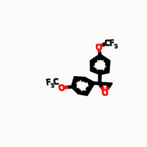 FC(F)(F)Oc1ccc(C2(c3ccc(OC(F)(F)F)cc3)CO2)cc1